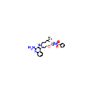 CCCCc1nc2c(N)nc3ccccc3c2n1CCOCCNS(=O)(=O)C1=CC=CC1